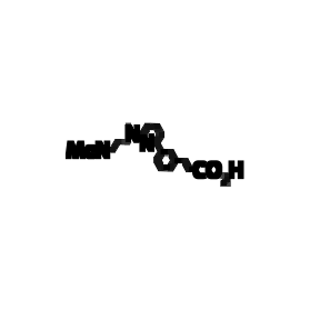 CNCCCN(C)c1cccc(-c2cccc(/C=C/C(=O)O)c2)n1